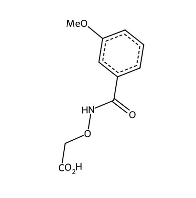 COc1cccc(C(=O)NOCC(=O)O)c1